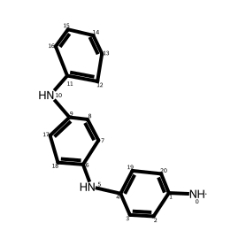 [NH]c1ccc(Nc2ccc(Nc3ccccc3)cc2)cc1